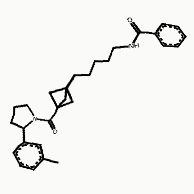 Cc1cccc(C2CCCN2C(=O)C23CC(CCCCCNC(=O)c4ccccc4)(C2)C3)c1